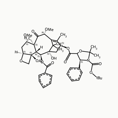 CO[C@H]1C(=O)[C@]2(C)[C@@H](OC)C[C@@H]3OC[C@@]3(OC(C)=O)[C@H]2[C@H](OC(=O)c2ccccc2)[C@]2(O)C[C@H](OC(=O)C3OC(C)(C)N(C(=O)OC(C)(C)C)[C@H]3c3ccccc3)C(C)=C1C2(C)C